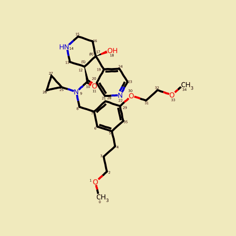 COCCCc1cc(CN(C(=O)[C@H]2CNCC[C@]2(O)c2ccncc2)C2CC2)cc(OCCOC)c1